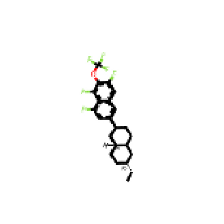 CC[C@@H]1CC[C@@H]2CC(c3cc(F)c4c(F)c(OC(F)(F)F)c(F)cc4c3)CCC2C1